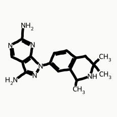 CC1NC(C)(C)Cc2ccc(-n3nc(N)c4cnc(N)nc43)cc21